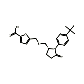 CC(C)(C)c1ccc(N2C(=O)CC[C@H]2COCc2ccc(C(=O)O)s2)cc1